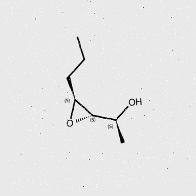 CCC[C@@H]1O[C@H]1[C@H](C)O